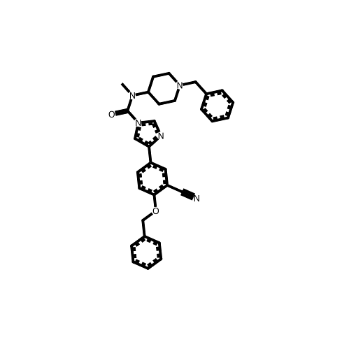 CN(C(=O)n1cnc(-c2ccc(OCc3ccccc3)c(C#N)c2)c1)C1CCN(Cc2ccccc2)CC1